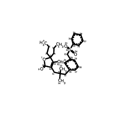 CCCC1(CCC)OC(=O)C(CC(C)(C)Cc2cccc(CS(=O)(=O)c3ccccc3)c2)=C1O